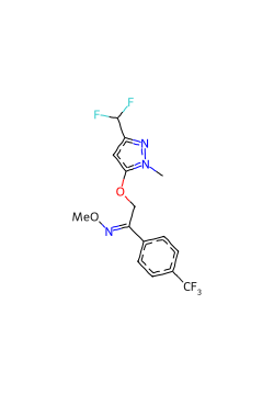 CON=C(COc1cc(C(F)F)nn1C)c1ccc(C(F)(F)F)cc1